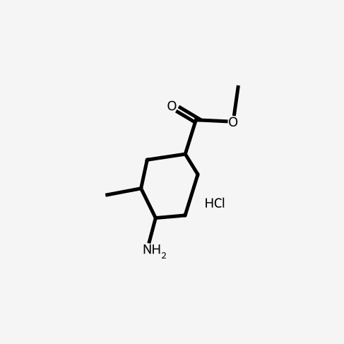 COC(=O)C1CCC(N)C(C)C1.Cl